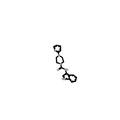 O=C(Nc1c[nH]c2ccccc12)N1CCN(c2ccccn2)CC1